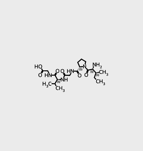 CC[C@H](C)[C@H](N)C(=O)N1CCC[C@H]1C(=O)NCC(=O)N[C@H](C(=O)NCC(=O)O)C(C)C